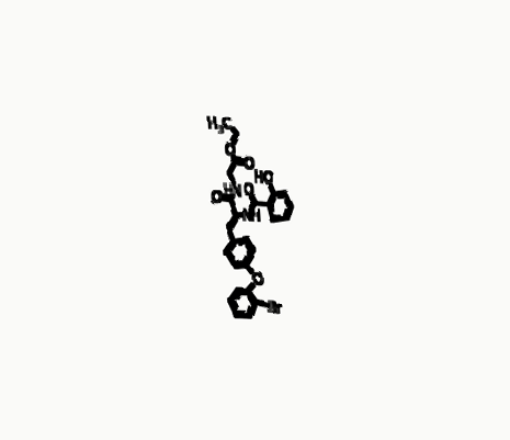 CCOC(=O)CNC(=O)C(=Cc1ccc(Oc2ccccc2Br)cc1)NC(=O)c1ccccc1O